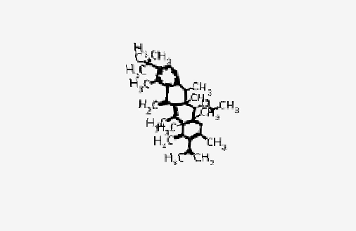 C=C(C)C1=C(C)C[C@@]2(C)[C@H](OCC)[C@]3(C)C(=C(C)[C@@]2(C)C1=C)C(=C)c1c(ccc(C(C)(C)C)c1C)[C@H]3C